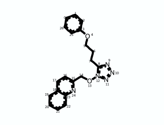 c1ccc(OCCCc2nnnn2OCc2ccc3ccccc3n2)cc1